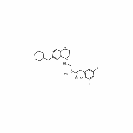 CC(=O)N[C@@H](Cc1cc(F)cc(F)c1)[C@H](S)CN[C@H]1CCOc2ccc(CC3CCCCC3)cc21